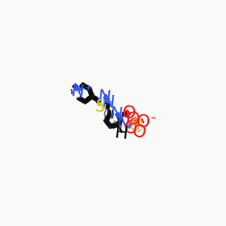 C[N+]1(C)CCC(c2nnc([C@@H]3CC[C@@H]4CN3C(=O)N4OS(=O)(=O)[O-])s2)CC1